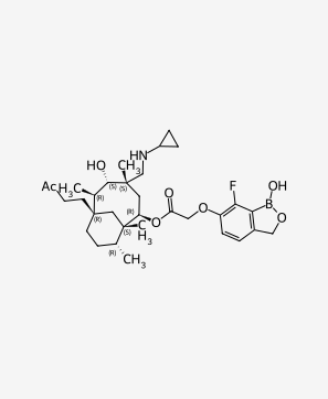 CC(=O)CC[C@]12CC[C@@H](C)[C@](C)(C1)[C@H](OC(=O)COc1ccc3c(c1F)B(O)OC3)C[C@@](C)(CNC1CC1)[C@@H](O)[C@@H]2C